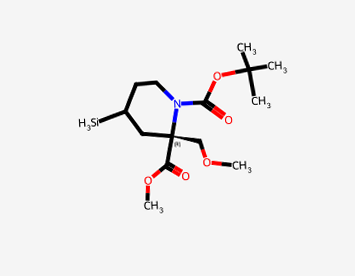 COC[C@@]1(C(=O)OC)CC([SiH3])CCN1C(=O)OC(C)(C)C